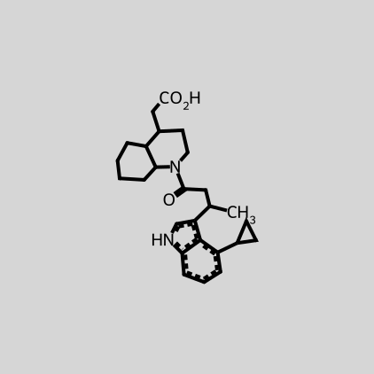 CC(CC(=O)N1CCC(CC(=O)O)C2CCCCC21)c1c[nH]c2cccc(C3CC3)c12